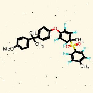 COc1ccc(C(C)(C)c2ccc(OC3=C(F)C(F)C(C)(S(=O)(=O)c4c(F)c(F)c(C)c(F)c4F)C(F)=C3F)cc2)cc1